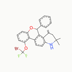 C=C1CC(C)(C)Nc2ccc3c(c21)C(c1ccccc1)Oc1cccc(OC(F)(F)Br)c1-3